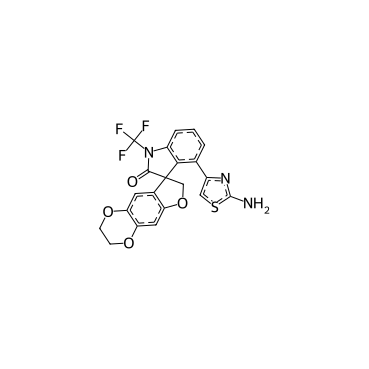 Nc1nc(-c2cccc3c2C2(COc4cc5c(cc42)OCCO5)C(=O)N3C(F)(F)F)cs1